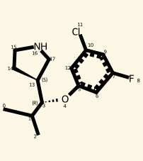 CC(C)[C@@H](Oc1cc(F)cc(Cl)c1)[C@H]1CCNC1